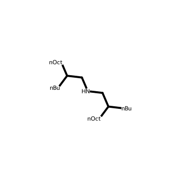 CCCCCCCCC(CCCC)CNCC(CCCC)CCCCCCCC